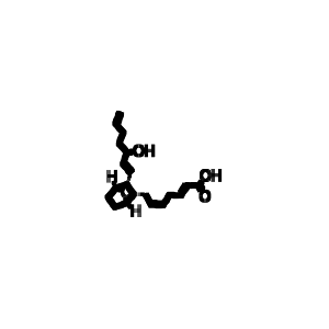 C=CCCC(O)/C=C/[C@@H]1[C@H](C/C=C\C/C=C/C(=O)O)[C@@H]2CC[C@H]1O2